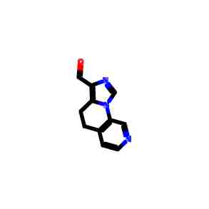 O=Cc1ncn2c1CCc1ccncc1-2